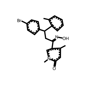 Cc1cc(=O)n(C)cc1C(CC(c1ccc(Br)cc1)c1ccccc1C)=NO